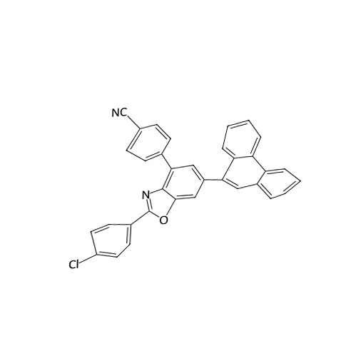 N#Cc1ccc(-c2cc(-c3cc4ccccc4c4ccccc34)cc3oc(-c4ccc(Cl)cc4)nc23)cc1